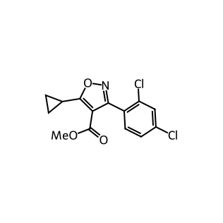 COC(=O)c1c(-c2ccc(Cl)cc2Cl)noc1C1CC1